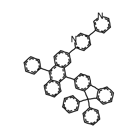 c1ccc(-c2c3ccccc3c(-c3ccc4c(c3)C(c3ccccc3)(c3ccccc3)c3ccccc3-4)c3cc(-c4ccc(-c5cccnc5)cn4)ccc23)cc1